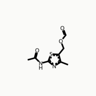 CC(=O)Nc1nc(C)c(COC=O)s1